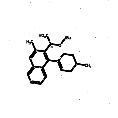 Cc1cc2ccccc2c(C2=CCC(C)CC2)c1[C@H](OC(C)(C)C)C(=O)O